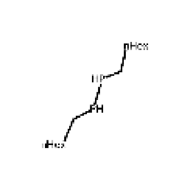 CCCCCCCPPCCCCCCC